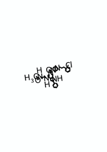 CC(=O)NCCNC1=CN(C(=O)N2CCN(CCCc3ccccc3Cl)CC2)Cc2[nH]c(-c3ccccc3)cc21